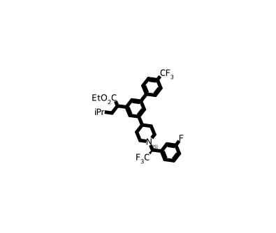 CCOC(=O)C(CC(C)C)c1cc(-c2ccc(C(F)(F)F)cc2)cc(C2CCN([C@@H](c3cccc(F)c3)C(F)(F)F)CC2)c1